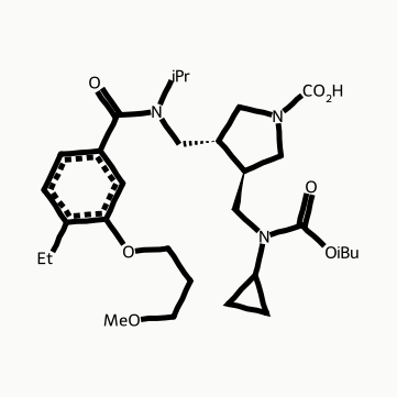 CCc1ccc(C(=O)N(C[C@@H]2CN(C(=O)O)C[C@H]2CN(C(=O)OCC(C)C)C2CC2)C(C)C)cc1OCCCOC